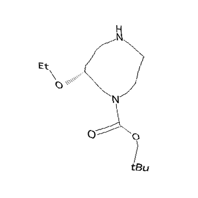 CCO[C@@H]1CNCCN1C(=O)OC(C)(C)C